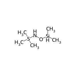 C[SiH](C)ONS(C)(C)C